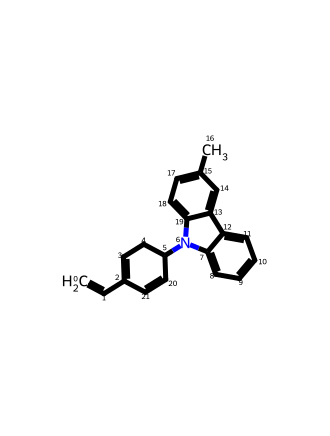 C=CC1=CCC(n2c3ccccc3c3cc(C)ccc32)C=C1